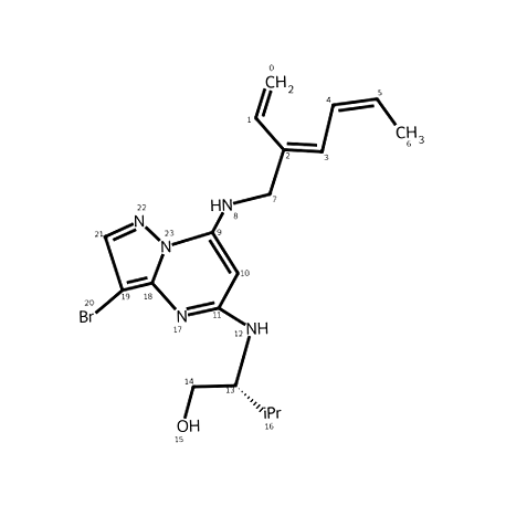 C=C/C(=C\C=C/C)CNc1cc(N[C@@H](CO)C(C)C)nc2c(Br)cnn12